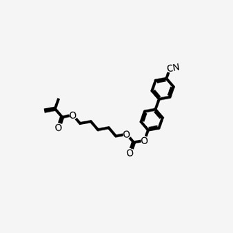 C=C(C)C(=O)OCCCCCOC(=O)Oc1ccc(-c2ccc(C#N)cc2)cc1